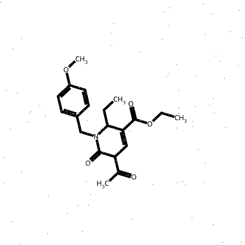 CCOC(=O)C1=CC(C(C)=O)C(=O)N(Cc2ccc(OC)cc2)C1CC